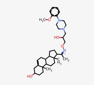 COc1ccccc1N1CCN(CC(O)CO/N=C(/C)C2CCC3C4CC=C5CC(O)CCC5(C)C4CCC23C)CC1